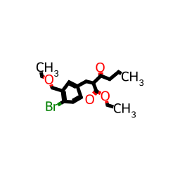 CCCC(=O)C(Cc1ccc(Br)c(COCC)c1)C(=O)OCC